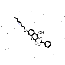 CC/C=C/CCOc1ccc2c(O)c(OC(=O)c3ccccc3)c(=O)oc2c1